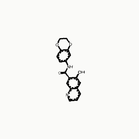 O=C(Nc1ccc2c(c1)OCCO2)c1cc2ncccc2cc1O